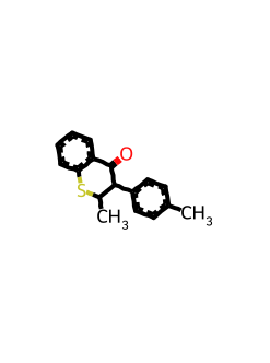 Cc1ccc(C2C(=O)c3ccccc3SC2C)cc1